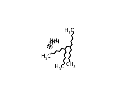 CCCCCCC(CCCCCC)CC(CCCCCC)CCCCCC.N=C=O.N=C=O